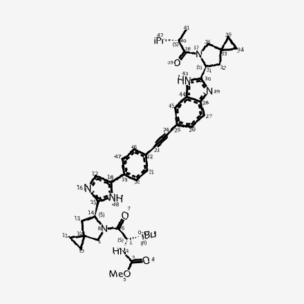 CC[C@@H](C)[C@H](NC(=O)OC)C(=O)N1CC2(CC2)C[C@H]1c1ncc(-c2ccc(C#Cc3ccc4nc([C@@H]5CC6(CC6)CN5C(=O)[C@@H](C)C(C)C)[nH]c4c3)cc2)[nH]1